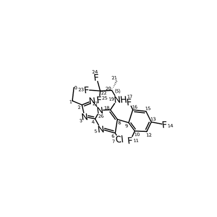 CCc1nc2nc(Cl)c(-c3c(F)cc(F)cc3F)c(N[C@@H](C)C(F)(F)F)n2n1